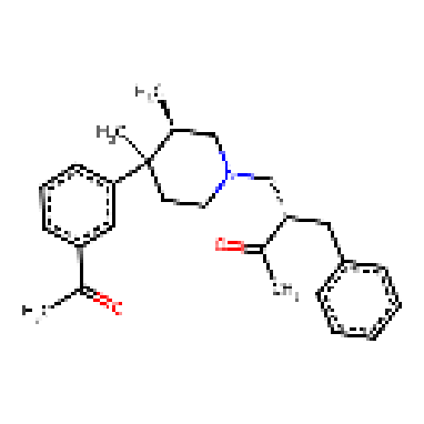 CC(=O)c1cccc([C@]2(C)CCN(C[C@H](Cc3ccccc3)C(C)=O)C[C@@H]2C)c1